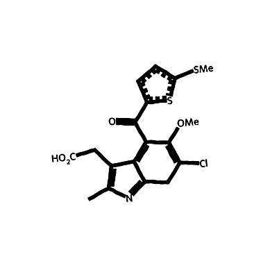 COC1=C(Cl)CC2=NC(C)=C(CC(=O)O)C2=C1C(=O)c1ccc(SC)s1